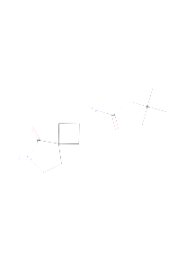 CC(C)(C)OC(=O)NC1CC2(CCNC2=O)C1